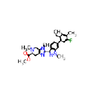 CCc1cc(C)c(F)cc1-c1ccc2c(-c3nc4c(n3C)CN(C)C(C(=O)OC)C4)nn(C)c2c1